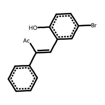 CC(=O)C(=Cc1cc(Br)ccc1O)c1ccccc1